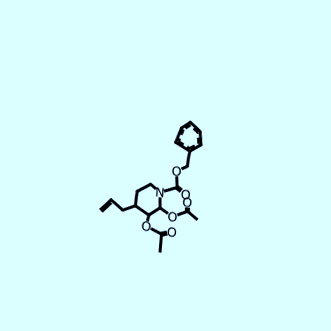 C=CCC1CCN(C(=O)OCc2ccccc2)C(OC(C)=O)C1OC(C)=O